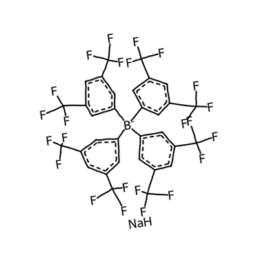 FC(F)(F)c1cc([B-](c2cc(C(F)(F)F)cc(C(F)(F)F)c2)(c2cc(C(F)(F)F)cc(C(F)(F)F)c2)c2cc(C(F)(F)F)cc(C(F)(F)F)c2)cc(C(F)(F)F)c1.[NaH]